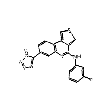 Fc1cccc(Nc2nc3cc(-c4nnn[nH]4)ccc3c3cscc23)c1